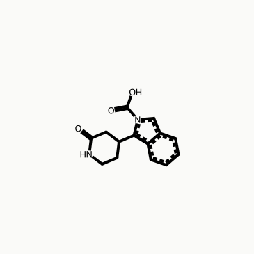 O=C1CC(c2c3ccccc3cn2C(=O)O)CCN1